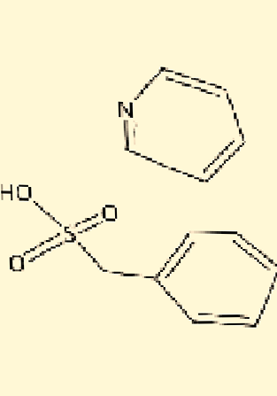 O=S(=O)(O)Cc1ccccc1.c1ccncc1